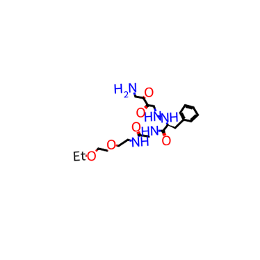 CCOCCOCCNC(=O)CNC(=O)[C@H](Cc1ccccc1)NNCC(=O)C(=O)CN